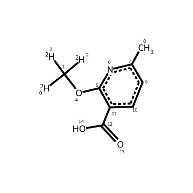 [2H]C([2H])([2H])Oc1nc(C)ccc1C(=O)O